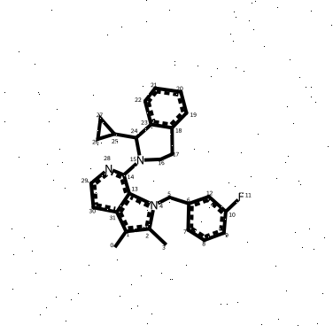 Cc1c(C)n(Cc2cccc(F)c2)c2c(N3CCc4ccccc4C3C3CC3)nccc12